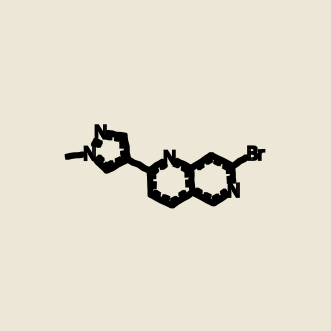 Cn1cc(-c2ccc3cnc(Br)cc3n2)cn1